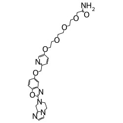 NC(=O)COCCOCCOCCOc1ccc(COc2ccc3oc(N4CCn5ccnc5C4)nc3c2)nc1